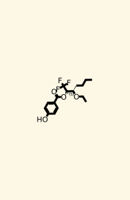 CCCC[C@H](OCC)[C@H](OC(=O)c1ccc(O)cc1)C(F)(F)F